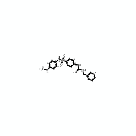 O=C(NCc1cccnc1)Nc1ccc(S(=O)(=O)Nc2ccc(OC(F)(F)F)cc2)cc1